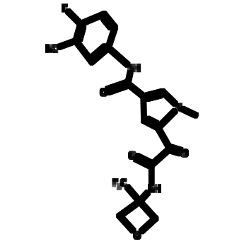 Cn1cc(C(=O)Nc2ccc(F)c(C#N)c2)cc1C(=O)C(=O)NC1(C(F)(F)F)COC1